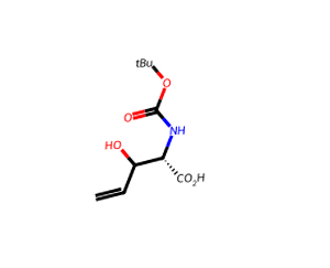 C=CC(O)[C@H](NC(=O)OC(C)(C)C)C(=O)O